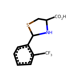 O=C(O)C1CSC(c2ccccc2C(F)(F)F)N1